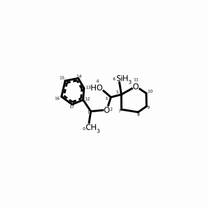 CC(OC(O)C1([SiH3])CCCCO1)c1ccccc1